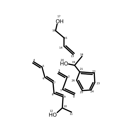 C=CC=C.C=CC=CC=CC(C)O.C=CCCO.CC(O)c1ccccc1